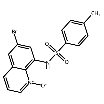 Cc1ccc(S(=O)(=O)Nc2cc(Br)cc3ccc[n+]([O-])c23)cc1